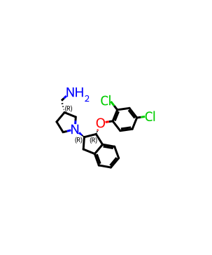 NC[C@H]1CCN([C@@H]2Cc3ccccc3[C@H]2Oc2ccc(Cl)cc2Cl)C1